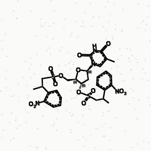 Cc1cn([C@H]2C[C@H](OS(=O)(=O)CC(C)c3ccccc3[N+](=O)[O-])[C@@H](COS(=O)(=O)CC(C)c3ccccc3[N+](=O)[O-])O2)c(=O)[nH]c1=O